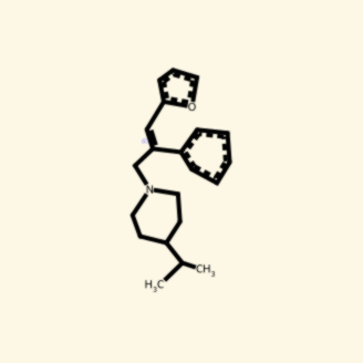 CC(C)C1CCN(C/C(=C/c2ccco2)c2ccccc2)CC1